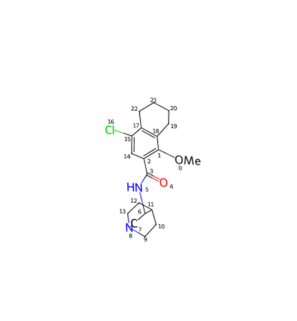 COc1c(C(=O)NC2CN3CCC2CC3)cc(Cl)c2c1CCCC2